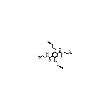 CN(C)CCNC(=O)c1cc(SCCC#N)c(C(=O)NCCN(C)C)cc1SCCC#N